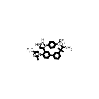 Cc1nc(C(F)(F)F)cn1-c1ccc(-c2cccc(C(C)(C)C(N)=O)c2)cc1C1=CNNN1c1ccc(OC(F)(F)F)cc1